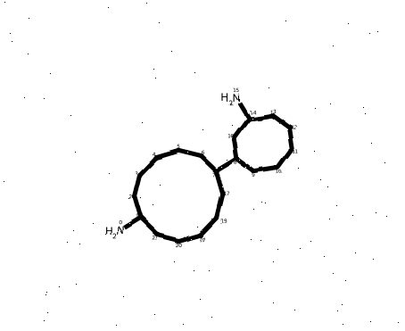 NC1CCCCCC(C2CCCCCC(N)C2)CCCCC1